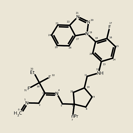 C=NC/C(=N\CC1(CCC)CCC(CNc2ccc(F)c(-n3nnc4ccccc43)c2)C1)C(F)(F)CC